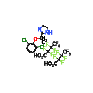 CC(Oc1c(Cl)cccc1Cl)C1=NCCN1.O=C(O)C(F)(F)C(F)(F)C(F)(F)F.O=C(O)C(F)(F)C(F)(F)C(F)(F)F